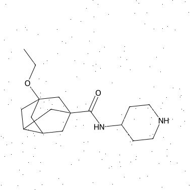 CCOC12CC3CC(C(=O)NC4CCNCC4)(CC3C1)C2